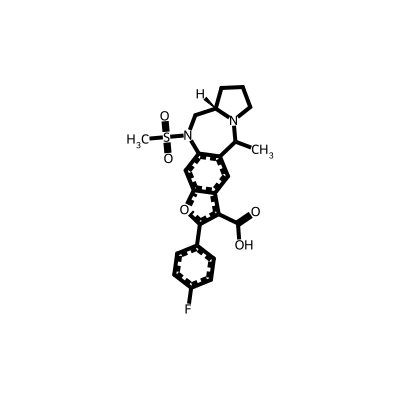 CC1c2cc3c(C(=O)O)c(-c4ccc(F)cc4)oc3cc2N(S(C)(=O)=O)C[C@@H]2CCCN12